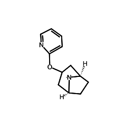 c1ccc(OC2C[C@H]3CC[C@@H](C2)[N]3)nc1